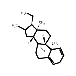 CC[C@@H]1C(C)C[C@H]2[C@@H]3CCC4=CCC=C[C@]4(C)[C@@]3(F)CC[C@]12C